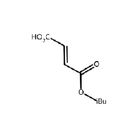 CCC(C)OC(=O)C=CC(=O)O